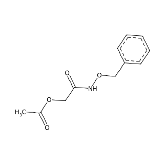 CC(=O)OCC(=O)NOCc1ccccc1